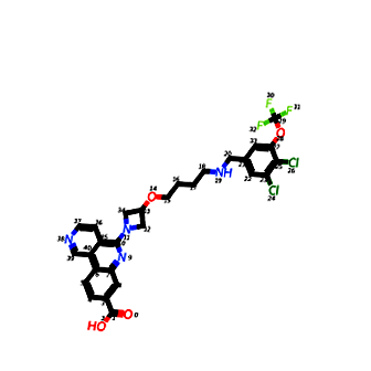 O=C(O)c1ccc2c(c1)nc(N1CC(OCCCCNCc3cc(Cl)c(Cl)c(OC(F)(F)F)c3)C1)c1ccncc12